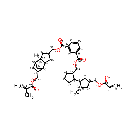 C=CC(=O)OCC1CC(C2CCCC2COC(=O)c2cccc(C(=O)OCC3CC4C5CC(CC5COC(=O)C(=C)C)[C@H]4C3)c2)[C@@H](C)C1